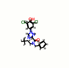 CC(C)(C)CCN(Cc1ccccc1)C(=O)c1ncn(-c2cc(Cl)c(O)c(Cl)c2)n1